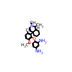 COc1ccc(C)c(C23CCCC[C@H]2C(C)N(C)CC3)c1Oc1ccc(N)cc1N